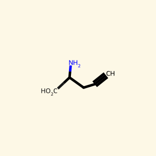 C#CCC(N)C(=O)O